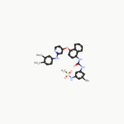 COc1cc(Nc2cc(Oc3ccc(NC(=O)Nc4cc(NS(C)(=O)=O)cc(C(C)(C)C)c4)c4ccccc34)ccn2)ccc1C(=O)O